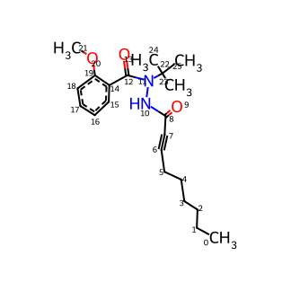 CCCCCCC#CC(=O)NN(C(=O)c1ccccc1OC)C(C)(C)C